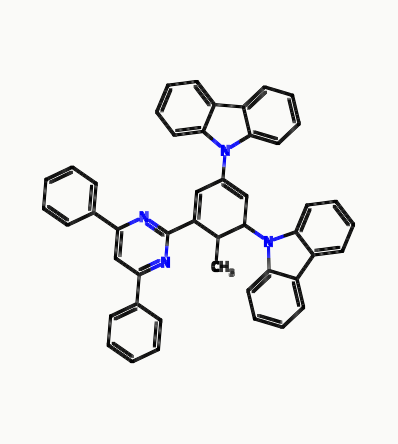 CC1C(c2nc(-c3ccccc3)cc(-c3ccccc3)n2)=CC(n2c3ccccc3c3ccccc32)=CC1n1c2ccccc2c2ccccc21